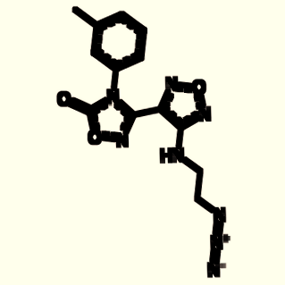 Cc1cccc(-n2c(-c3nonc3NCCN=[N+]=[N-])noc2=O)c1